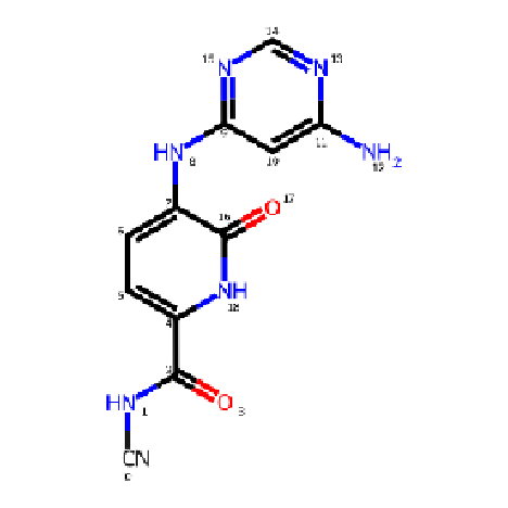 N#CNC(=O)c1ccc(Nc2cc(N)ncn2)c(=O)[nH]1